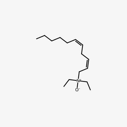 CCCCC/C=C\C/C=C\C[N+]([O-])(CC)CC